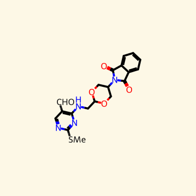 CSc1ncc(C=O)c(NCC2OCC(N3C(=O)c4ccccc4C3=O)CO2)n1